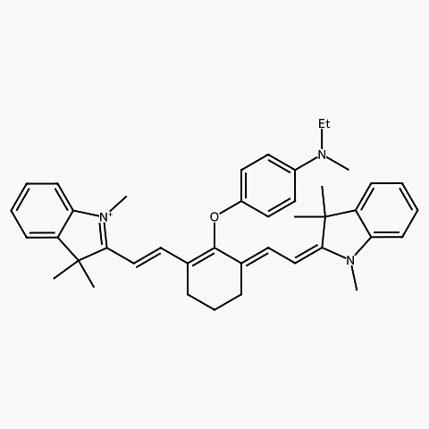 CCN(C)c1ccc(OC2=C(/C=C/C3=[N+](C)c4ccccc4C3(C)C)CCC/C2=C\C=C2\N(C)c3ccccc3C2(C)C)cc1